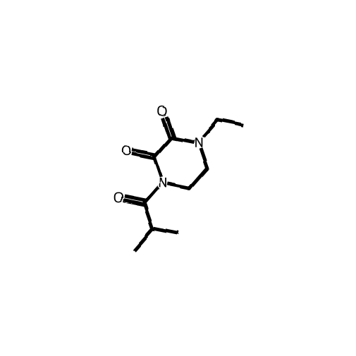 CCN1CCN(C(=O)C(C)C)C(=O)C1=O